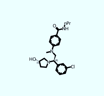 CCCNC(=O)c1ccc(N(C)C[C@@H](c2cccc(Cl)c2)N2CC[C@H](O)C2)cc1